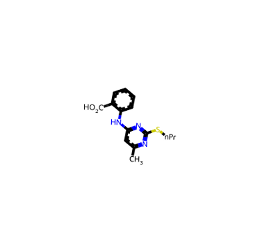 CCCSc1nc(C)cc(Nc2ccccc2C(=O)O)n1